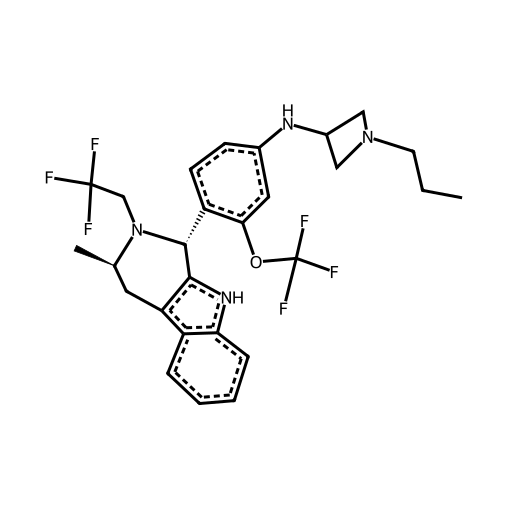 CCCN1CC(Nc2ccc([C@@H]3c4[nH]c5ccccc5c4C[C@@H](C)N3CC(F)(F)F)c(OC(F)(F)F)c2)C1